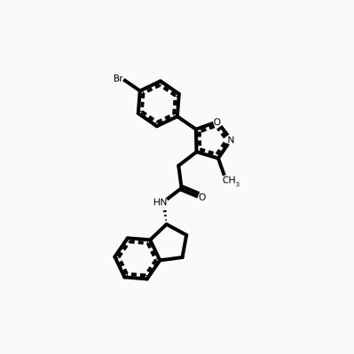 Cc1noc(-c2ccc(Br)cc2)c1CC(=O)N[C@@H]1CCc2ccccc21